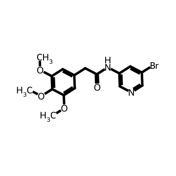 COc1cc(CC(=O)Nc2cncc(Br)c2)cc(OC)c1OC